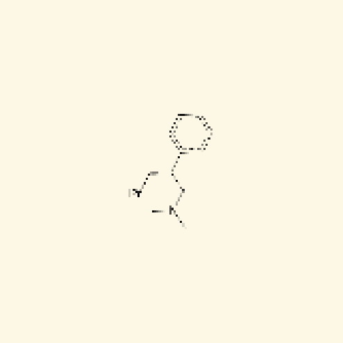 CC(C)C[C@@H](CN(C)C)c1ccccc1